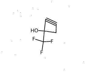 OC1(C(F)(F)F)C#CC1